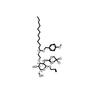 C=CCO[C@H]1O[C@H](CO)[C@@H](O)[C@H](OCC[C@@H](CCCCCCCCCCC)OCc2ccc(OC)cc2)[C@H]1NC(=O)OCC(Cl)(Cl)Cl